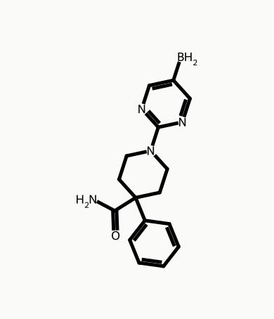 Bc1cnc(N2CCC(C(N)=O)(c3ccccc3)CC2)nc1